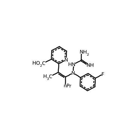 CCC/C(=C(\C)c1ncccc1C(=O)O)N(NC(=N)N)c1cccc(F)c1